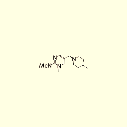 CNC1=NC=C(CN2CCC(C)CC2)CN1C